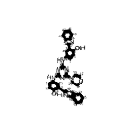 Oc1ccc(Nc2nc(Nc3ccc(O)c(-c4nc5ccccc5s4)c3)nc(N3CCOCC3)n2)cc1-c1nc2ccccc2s1